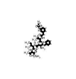 CC[C@H](C)[C@H](NC(=O)C[C@H](N)[C@H](Cc1ccccc1)NC(=O)C(NC(=O)Cc1cccc(NS(C)(=O)=O)c1)C(C)C)C(=O)NC(C(=O)OC)C(C)C